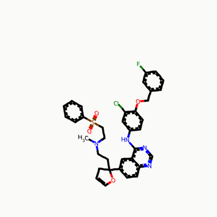 CN(CCC1(c2ccc3ncnc(Nc4ccc(OCc5cccc(F)c5)c(Cl)c4)c3c2)CC=CO1)CCS(=O)(=O)c1ccccc1